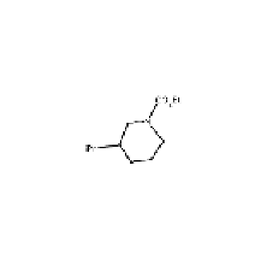 CCOC(=O)N1CCCC(C(C)C)C1